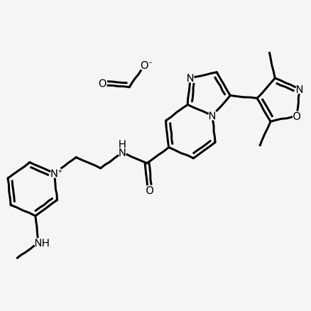 CNc1ccc[n+](CCNC(=O)c2ccn3c(-c4c(C)noc4C)cnc3c2)c1.O=C[O-]